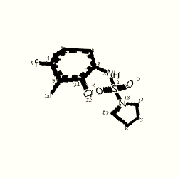 O=S(=O)(Nc1ccc(F)c(I)c1Cl)N1CCCC1